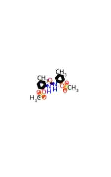 Cc1ccc(OS(C)(=O)=O)c(NC(=O)Nc2cc(C)ccc2OS(C)(=O)=O)c1